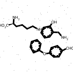 NCCCC[C@H](N)C(=O)O.NCc1ccccc1O.O=Cc1ccc(Oc2ccccc2)cc1